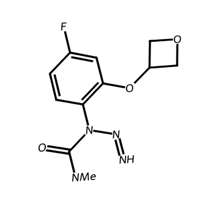 CNC(=O)N(N=N)c1ccc(F)cc1OC1COC1